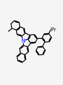 CC(C)c1ccc(-c2ccccc2)c(-c2cc3c4cc5c(cc4n4c6cc7ccccc7cc6c(c2)c34)C(C)CC=C5)c1